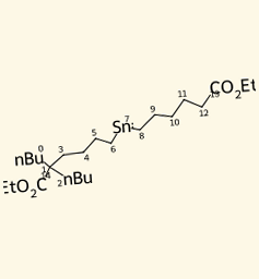 CCCCC(CCCC)(CCC[CH2][Sn][CH2]CCCCC(=O)OCC)C(=O)OCC